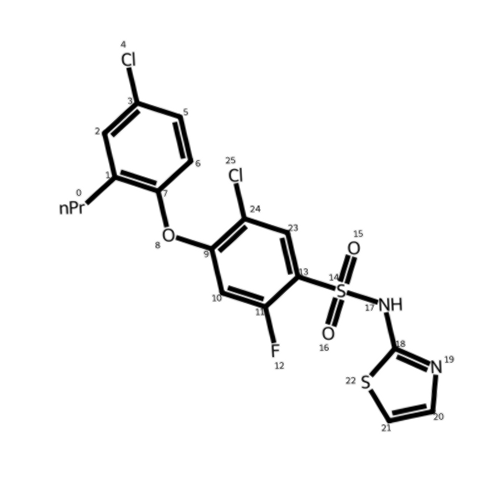 C[CH]Cc1cc(Cl)ccc1Oc1cc(F)c(S(=O)(=O)Nc2nccs2)cc1Cl